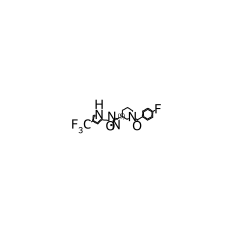 O=C(c1ccc(F)cc1)N1CCC[C@H](c2noc(-c3cc(C(F)(F)F)c[nH]3)n2)C1